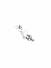 CC[C@@H](COC(=O)Nc1ccc(S(=O)(=O)C2CC2)c(CN(C)C(=O)OC(C)(C)C)c1)c1ccc(C(C=O)Nc2ccc3nc[nH]c(=O)c3c2)cc1C